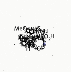 COc1ccc2c(O[C@@H]3C[C@H]4C(=O)N[C@]5(C(=O)O)CC5/C=C\CCCCC[C@H](NC(=O)NC5(CN(C)S(=O)(=O)c6ccccn6)CCCCC5)C(=O)N4C3)cc(-c3csc(NC(C)C)n3)nc2c1